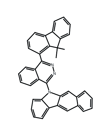 CC1(C)c2ccccc2-c2cccc(-c3nnc(-n4c5ccccc5c5cc6ccccc6cc54)c4ccccc34)c21